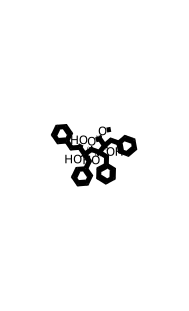 CO[C@@H]1O[C@@H]([C@@](O)(Cc2ccccc2)C(O)Cc2ccccc2)[C@@](O)(Cc2ccccc2)[C@]1(O)Cc1ccccc1